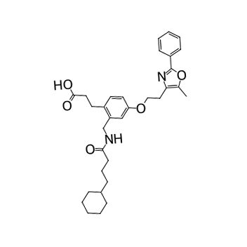 Cc1oc(-c2ccccc2)nc1CCOc1ccc(CCC(=O)O)c(CNC(=O)CCCC2CCCCC2)c1